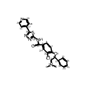 CN(C)CC(Oc1ccc(C(=O)Nc2nnc(-c3ccncc3)s2)cc1Cl)c1ccccc1